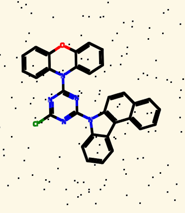 Clc1nc(N2c3ccccc3Oc3ccccc32)nc(-n2c3ccccc3c3c4ccccc4ccc32)n1